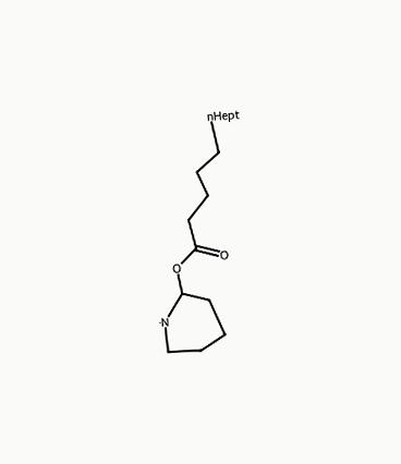 CCCCCCCCCCCC(=O)OC1CCCC[N]1